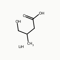 CC(CO)CC(=O)O.[LiH]